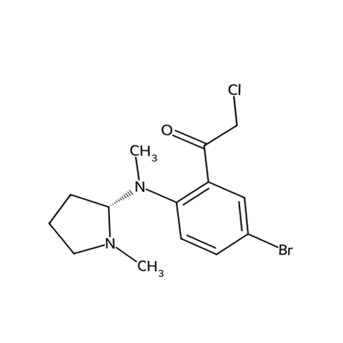 CN1CCC[C@@H]1N(C)c1ccc(Br)cc1C(=O)CCl